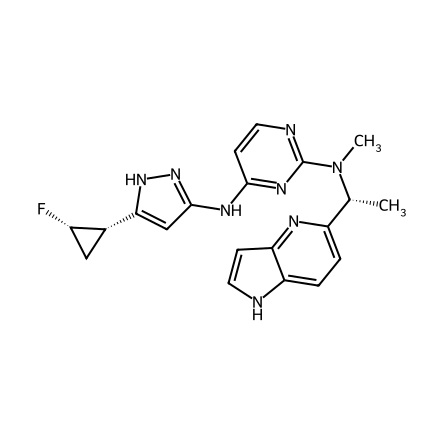 C[C@H](c1ccc2[nH]ccc2n1)N(C)c1nccc(Nc2cc([C@@H]3C[C@@H]3F)[nH]n2)n1